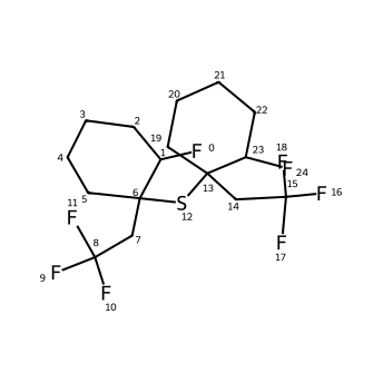 FC1CCCCC1(CC(F)(F)F)SC1(CC(F)(F)F)CCCCC1F